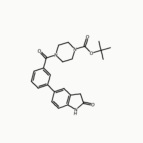 CC(C)(C)OC(=O)N1CCN(C(=O)c2cccc(-c3ccc4c(c3)CC(=O)N4)c2)CC1